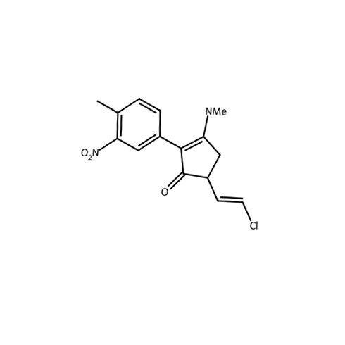 CNC1=C(c2ccc(C)c([N+](=O)[O-])c2)C(=O)C(C=CCl)C1